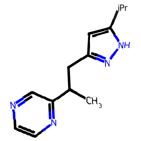 CC(C)c1cc(CC(C)c2cnccn2)n[nH]1